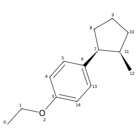 CCOc1ccc([C@H]2CCC[C@H]2C)cc1